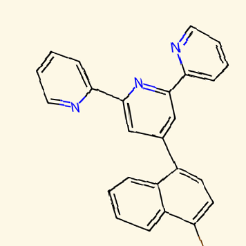 Brc1ccc(-c2cc(-c3ccccn3)nc(-c3ccccn3)c2)c2ccccc12